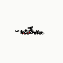 COc1ccc(CN2CCN(C3CC4(CCN(c5ccc(C(=O)NS(=O)(=O)c6cnc(NCC7CCC(C)(O)CC7)c([N+](=O)[O-])c6)c(Oc6cc7c(F)c[nH]c7nc6OC)c5)CC4)C3)[C@H](c3ccccc3C(C)C)C2)cn1